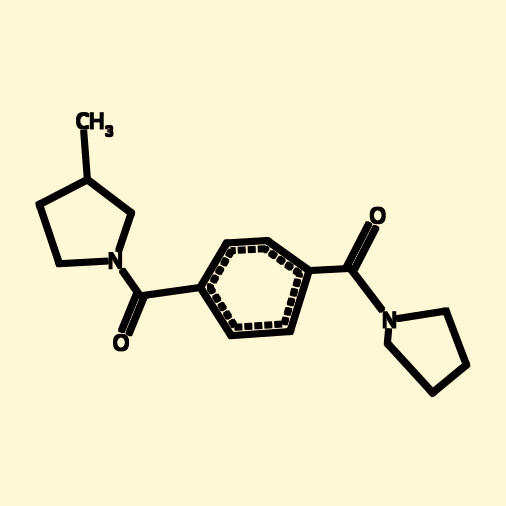 CC1CCN(C(=O)c2ccc(C(=O)N3CCCC3)cc2)C1